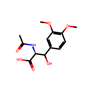 COc1ccc(C(O)[C@H](NC(C)=O)C(=O)O)cc1OC